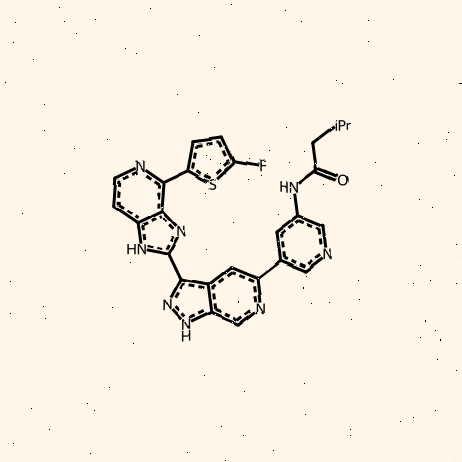 CC(C)CC(=O)Nc1cncc(-c2cc3c(-c4nc5c(-c6ccc(F)s6)nccc5[nH]4)n[nH]c3cn2)c1